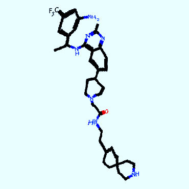 Cc1nc(NC(C)c2cc(N)cc(C(F)(F)F)c2)c2cc(C3CCN(CC(=O)NCCC4CCC5(CCNCC5)CC4)CC3)ccc2n1